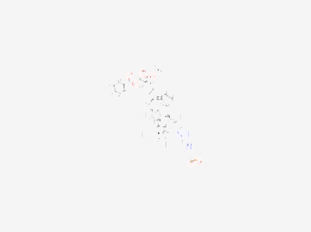 C=C(C)[C@@H]1CC[C@]2(NCCN3CCS(=O)(=O)CC3)CC[C@]3(C)[C@H](CCC4[C@@]5(C)CC=C(C6=CCC(COC(=O)c7ccccc7)(C(=O)OCC)CC6)C(C)(C)C5CC[C@]43C)C12